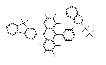 Bc1c(B)c(B)c2c(-c3ccc4c(c3)C(C)(C)c3ccccc3-4)c3c(B)c(B)c(B)c(B)c3c(-c3cccc(-n4c(C(B)(B)C(B)(B)B)nc5ccccc54)c3)c2c1B